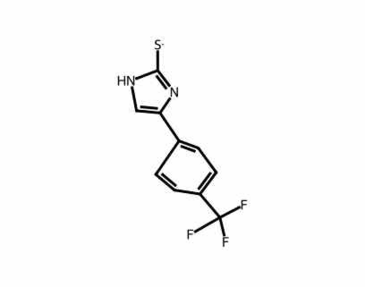 FC(F)(F)c1ccc(-c2c[nH]c([S])n2)cc1